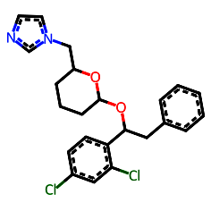 Clc1ccc(C(Cc2ccccc2)OC2CCCC(Cn3ccnc3)O2)c(Cl)c1